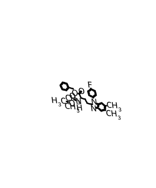 Cc1cc2nc(CCC(NC(=O)OC(C)(C)C)C(=O)OCc3ccccc3)n(-c3ccc(F)cc3)c2cc1C